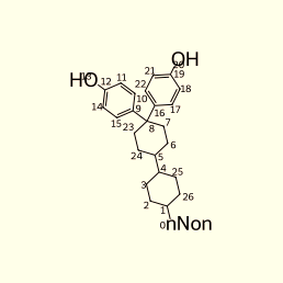 CCCCCCCCCC1CCC(C2CCC(c3ccc(O)cc3)(c3ccc(O)cc3)CC2)CC1